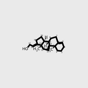 C[C@]12CCCC=C1CC[C@@H]1C2=CC[C@]2(C)C(=CCO)CC[C@@H]12